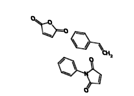 C=Cc1ccccc1.O=C1C=CC(=O)N1c1ccccc1.O=C1C=CC(=O)O1